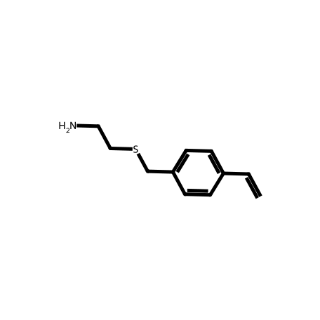 C=Cc1ccc(CSCCN)cc1